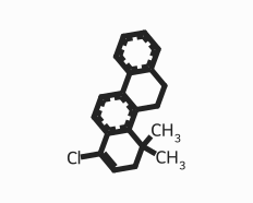 CC1(C)CC=C(Cl)c2ccc3c(c21)CCc1ccccc1-3